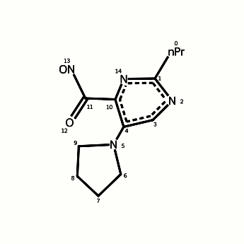 CCCc1ncc(N2CCCC2)c(C(=O)N=O)n1